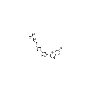 O=C(O)NCCCC1CC(n2cc(-c3cnc4ccc(Br)cc4n3)cn2)C1